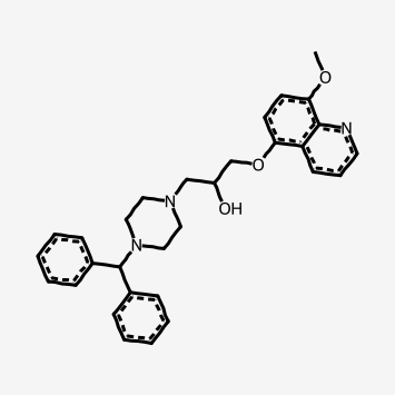 COc1ccc(OCC(O)CN2CCN(C(c3ccccc3)c3ccccc3)CC2)c2cccnc12